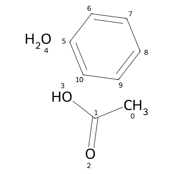 CC(=O)O.O.c1ccccc1